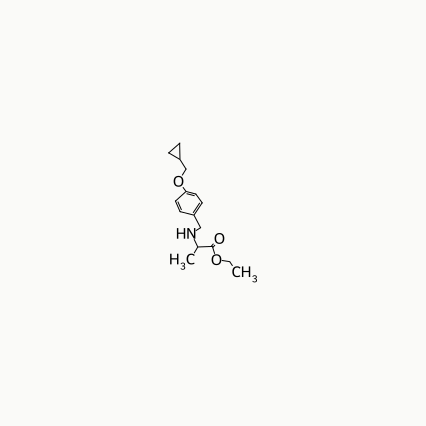 CCOC(=O)C(C)NCc1ccc(OCC2CC2)cc1